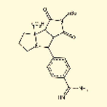 CCCCN1C(=O)C2C(c3ccc(C(=N)N)cc3)N3CCCC3(C(=O)O)C2C1=O